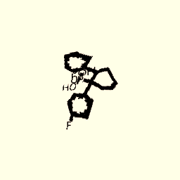 O=P(O)(O)C1(c2ccc(F)cc2)CCCCC1c1ccccc1F